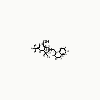 CC(C)(C)c1cc(O)c(CNCc2cccc3ccccc23)c(C(C)(C)C)c1